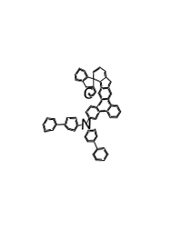 C1=CC2(C3=c4cc5c6ccc(N(c7ccc(-c8ccccc8)cc7)c7ccc(-c8ccccc8)cc7)cc6c6ccccc6c5cc4=CC3=C1)c1ccccc1-c1ccccc12